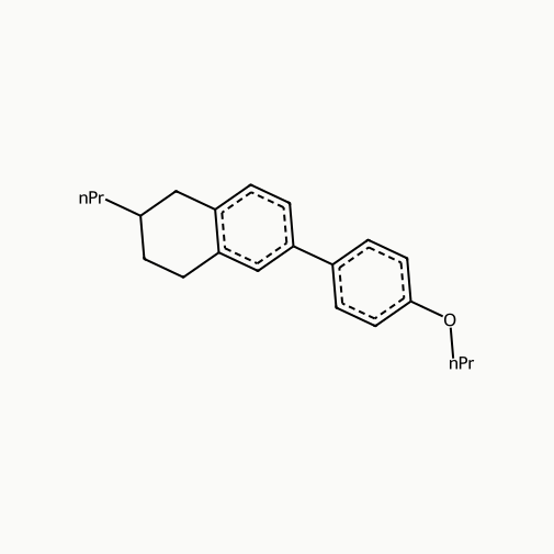 CCCOc1ccc(-c2ccc3c(c2)CCC(CCC)C3)cc1